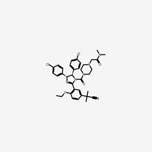 CCOc1ccc(C(C)(C)C#N)cc1C1=N[C@@H](c2ccc(Cl)cc2)[C@@H](c2ccc(Cl)cc2)N1C(=O)N1CCN(CC(=O)N(C)C)CC1